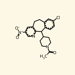 CC(=O)N1CCC(C2c3ccc(Cl)cc3CCc3cc([N+](=O)[O-])cnc32)CC1